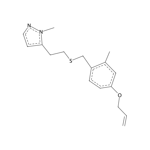 C=CCOc1ccc(CSCCc2ccnn2C)c(C)c1